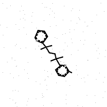 Cc1cccc(C(C)(C)CCC(C)(C)c2ccccn2)n1